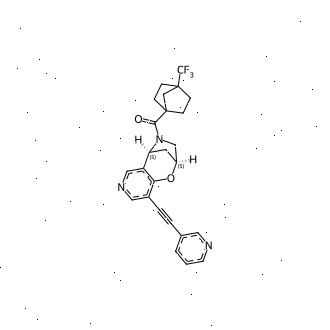 O=C(N1C[C@@H]2C[C@H]1c1cncc(C#Cc3cccnc3)c1O2)C12CCC(C(F)(F)F)(CC1)C2